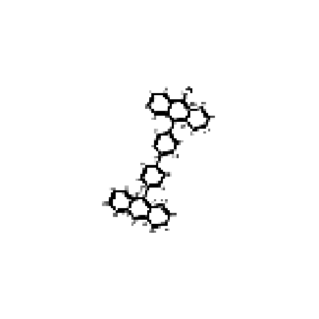 Brc1c2ccccc2c(-c2ccc(-c3ccc(-c4c5ccccc5cc5ccccc45)cc3)cc2)c2ccccc12